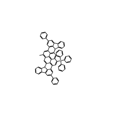 Cc1cc2c3c(cc4c([Si](c5ccccc5)(c5ccccc5)c5ccccc5)cc5c6c(cc1c3c46)B1c3ccccc3-c3cc(-c4ccccc4)cc-5c31)B1c3ccccc3-c3cc(-c4ccccc4)cc-2c31